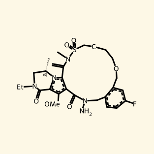 C=C1c2c(c(OC)c3n2[C@@H](C)CN(CC)C3=O)C(=O)N(N)Cc2ccc(F)cc2COCCCCS(=O)(=O)N1C